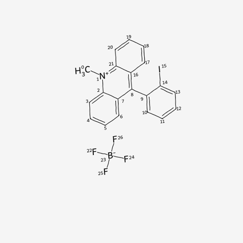 C[n+]1c2ccccc2c(-c2ccccc2I)c2ccccc21.F[B-](F)(F)F